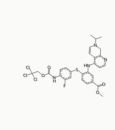 COC(=O)c1ccc(Sc2ccc(NC(=O)OCC(Cl)(Cl)Cl)c(F)c2)c(Nc2ccnc3c2C=CN(C(C)C)C3)c1